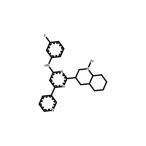 CC(=O)N1CC(c2nc(Nc3cccc(F)c3)cc(-c3cccnc3)n2)CC2CCCCC21